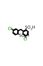 O=S(=O)(O)c1ccc(Cl)cc1Cc1cc(Cl)ccc1S(=O)(=O)O